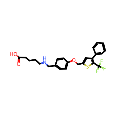 O=C(O)CCCCNCc1ccc(OCc2cc(-c3ccccc3)c(C(F)(F)F)s2)cc1